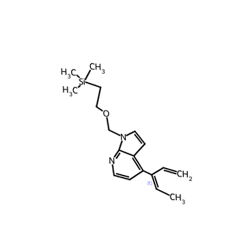 C=C/C(=C\C)c1ccnc2c1ccn2COCC[Si](C)(C)C